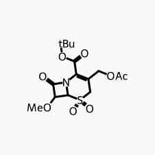 COC1C(=O)N2C(C(=O)OC(C)(C)C)=C(COC(C)=O)CS(=O)(=O)C12